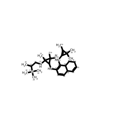 CC1=C(NC2=C(NC3C(C)(I)C3(C)NCC(C)[Si](C)(C)C)C=CC3C=CCCC23)C1(C)C